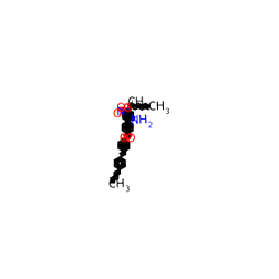 CCCCCC[C@@H](C)Oc1cc(N)c(-c2ccc(C(=O)Oc3ccc(CC[C@H]4CC[C@H](CCCCC)CC4)cc3)cc2)cc1[N+](=O)[O-]